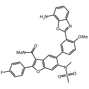 CNC(=O)c1c(-c2ccc(F)cc2)oc2cc(N(C)S(C)(=O)=O)c(-c3ccc(OC)c(-c4nc5cccc(N)c5o4)c3)cc12